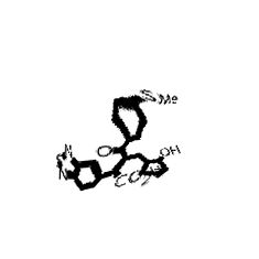 CSc1ccc(C(=O)C(CC2CCCC2O)=C(C(=O)O)c2ccc3nsnc3c2)cc1